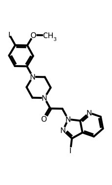 COc1cc(N2CCN(C(=O)Cn3nc(I)c4cccnc43)CC2)ccc1I